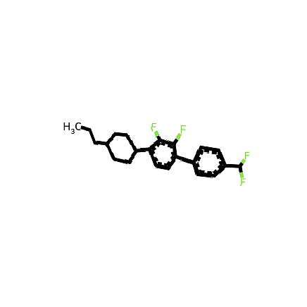 CCCC1CCC(c2ccc(-c3ccc(C(F)F)cc3)c(F)c2F)CC1